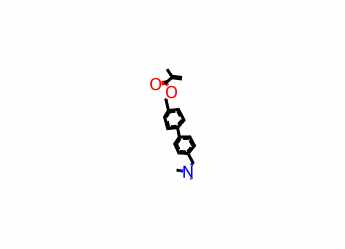 C=C(C)C(=O)OCc1ccc(-c2ccc(CN(C)C)cc2)cc1